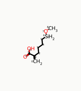 C=C(CCCC[SiH2]OC)C(=O)O